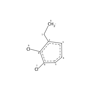 [CH2]Cc1cccc(Cl)c1Cl